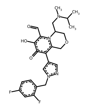 CC(C)N(C)CC1COCc2c(-c3cnn(Cc4ccc(F)cc4F)c3)c(=O)c(O)c(C=O)n21